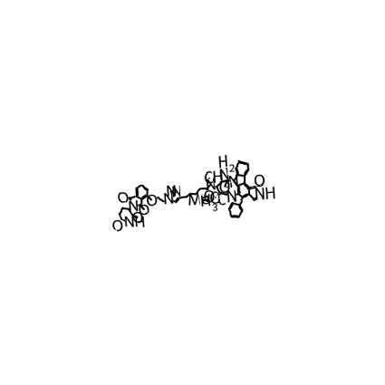 CO[C@@H]1[C@H](N(C)C(=O)CCCCc2cn(CCOc3cccc4c3C(=O)N(C3CCC(=O)NC3=O)C4=O)nn2)C[C@@]2(N)O[C@]1(C)n1c3ccccc3c3c4c(c5c6ccccc6n2c5c31)C(=O)NC4